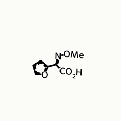 CON=C(C(=O)O)c1ccco1